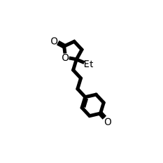 CCC1(CCCC2=CCC(=O)CC2)CCC(=O)O1